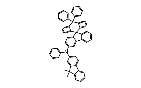 CC1(C)c2ccccc2-c2ccc(N(c3ccccc3)c3ccc4c(c3)-c3ccccc3C43c4ccccc4C(c4ccccc4)(c4ccccc4)c4ccccc43)cc21